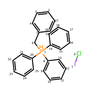 ClI.c1ccc(C[PH](c2ccccc2)(c2ccccc2)c2ccccc2)cc1